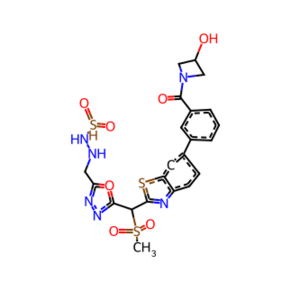 CS(=O)(=O)C(c1nnc(CNN[SH](=O)=O)o1)c1nc2ccc(-c3cccc(C(=O)N4CC(O)C4)c3)cc2s1